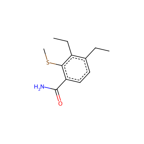 CCc1ccc(C(N)=O)c(SC)c1CC